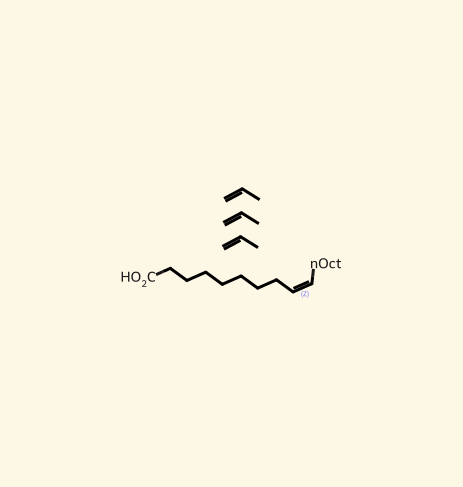 C=CC.C=CC.C=CC.CCCCCCCC/C=C\CCCCCCCC(=O)O